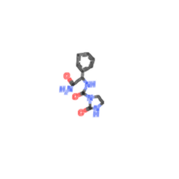 NC(=O)C(NC(=O)N1CCNC1=O)c1ccccc1